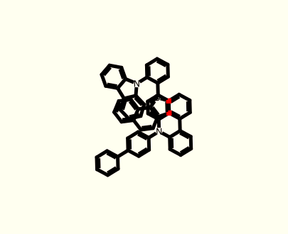 c1ccc(-c2ccc(N(c3ccc(-c4ccccc4-n4c5ccccc5c5ccccc54)cc3)c3ccccc3-c3cccc4oc5c6ccccc6ccc5c34)cc2)cc1